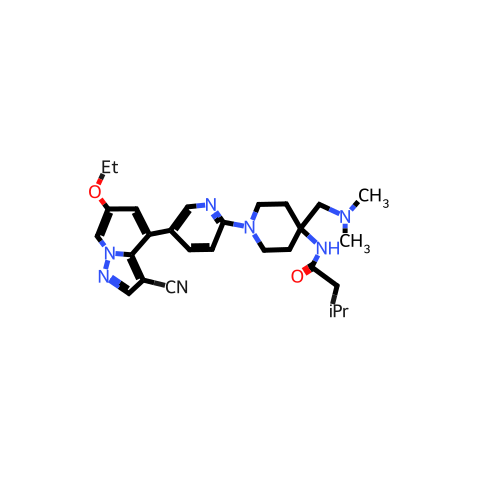 CCOc1cc(-c2ccc(N3CCC(CN(C)C)(NC(=O)CC(C)C)CC3)nc2)c2c(C#N)cnn2c1